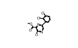 COC(=O)c1nc(-c2cccc(Cl)c2Cl)cnc1Cl